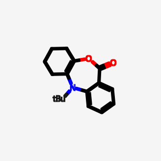 CC(C)(C)N1C2=C(CCCC2)OC(=O)c2ccccc21